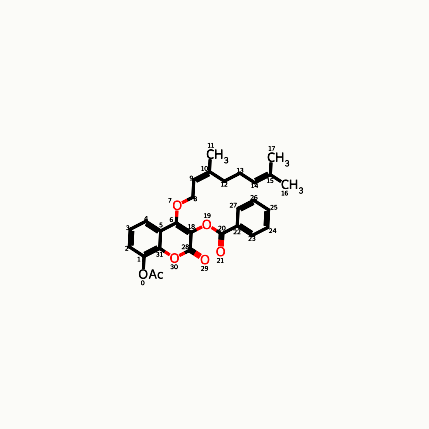 CC(=O)Oc1cccc2c(OCC=C(C)CCC=C(C)C)c(OC(=O)c3ccccc3)c(=O)oc12